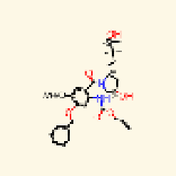 C=CCOC(=O)Nc1cc(OCc2ccccc2)c(OC)cc1C(=O)N1C[C@H](O)C[C@H]1CCC(C)(C)[Si](C)(C)O